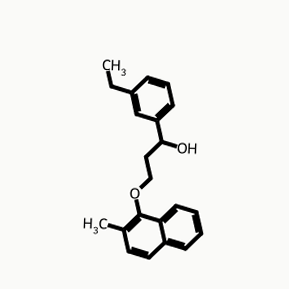 CCc1cccc(C(O)CCOc2c(C)ccc3ccccc23)c1